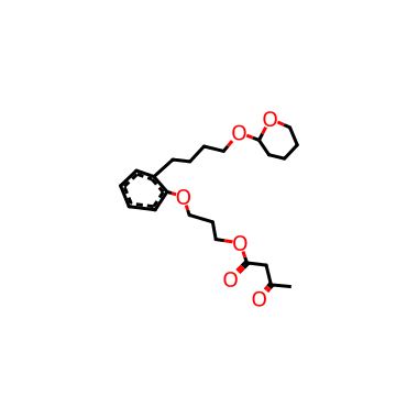 CC(=O)CC(=O)OCCCOc1ccccc1CCCCOC1CCCCO1